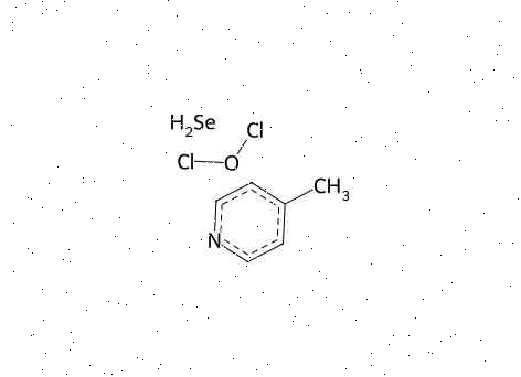 Cc1ccncc1.ClOCl.[SeH2]